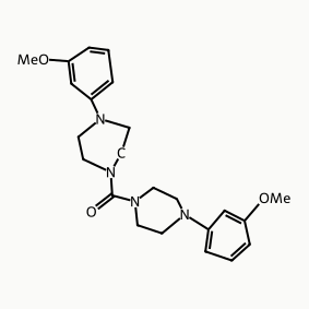 COc1cccc(N2CCN(C(=O)N3CCN(c4cccc(OC)c4)CC3)CC2)c1